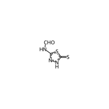 O=CNc1n[nH]c(=S)s1